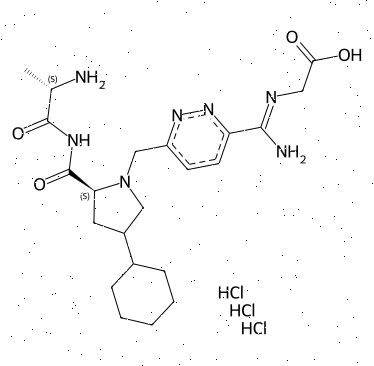 C[C@H](N)C(=O)NC(=O)[C@@H]1CC(C2CCCCC2)CN1Cc1ccc(C(N)=NCC(=O)O)nn1.Cl.Cl.Cl